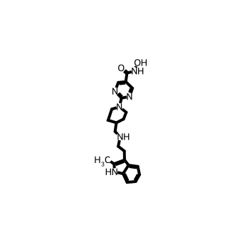 Cc1[nH]c2ccccc2c1CCNCC1CCN(c2ncc(C(=O)NO)cn2)CC1